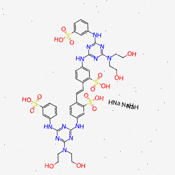 O=S(=O)(O)c1cccc(Nc2nc(Nc3ccc(C=Cc4ccc(Nc5nc(Nc6cccc(S(=O)(=O)O)c6)nc(N(CCO)CCO)n5)cc4S(=O)(=O)O)c(S(=O)(=O)O)c3)nc(N(CCO)CCO)n2)c1.[NaH].[NaH].[NaH]